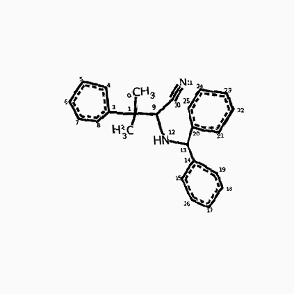 CC(C)(c1ccccc1)C(C#N)NC(c1ccccc1)c1ccccc1